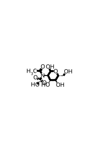 CC(=O)N([C@H]1C(O)O[C@H](CO)[C@@H](O)[C@@H]1O)S(=O)(=O)O